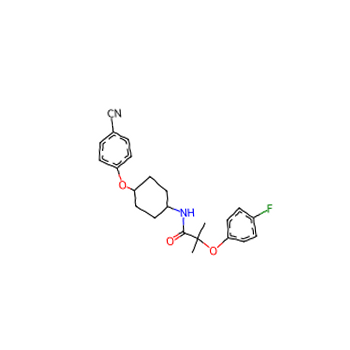 CC(C)(Oc1ccc(F)cc1)C(=O)NC1CCC(Oc2ccc(C#N)cc2)CC1